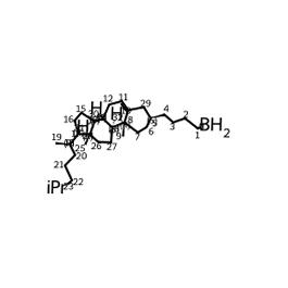 BCCCC[C@H]1CC[C@@]2(C)C(=CC[C@H]3[C@@H]4CC[C@H]([C@H](C)CCCC(C)C)[C@@]4(C)CC[C@@H]32)C1